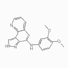 COc1ccc(Nc2nc3cccnc3c3c[nH]nc23)cc1OC